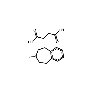 CN1CCc2ccccc2CC1.O=C(O)CCC(=O)O